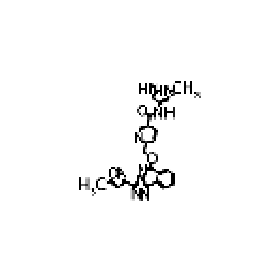 CN/C=C(\C=N)NC(=O)c1ccc(COc2nn3c(-c4cc(C)on4)nnc3c3ccccc23)nc1